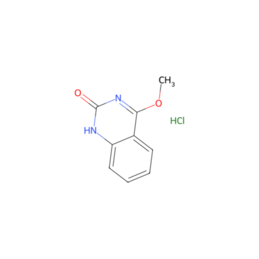 COc1nc(=O)[nH]c2ccccc12.Cl